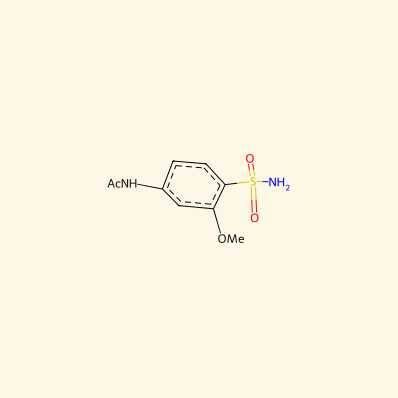 COc1cc(NC(C)=O)ccc1S(N)(=O)=O